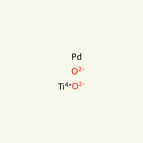 [O-2].[O-2].[Pd].[Ti+4]